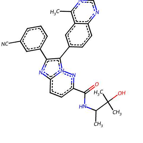 Cc1ncnc2ccc(-c3c(-c4cccc(C#N)c4)nc4ccc(C(=O)NC(C)C(C)(C)O)nn34)cc12